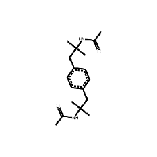 CC(=O)NC(C)(C)Cc1ccc(CC(C)(C)NC(C)=O)cc1